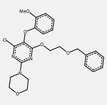 COc1ccccc1Oc1c(Cl)nc(N2CCOCC2)nc1OCCOCc1ccccc1